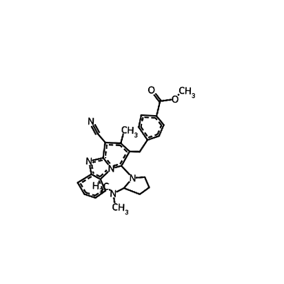 COC(=O)c1ccc(Cc2c(C)c(C#N)c3nc4ccccc4n3c2N2CCCC2N(C)C)cc1